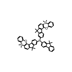 CC1(C)c2ccccc2-c2ccc(N(c3ccc4c(c3)C(C)(C)c3ccc5c(c3-4)Oc3ccccc3[Si]5(C)C)c3ccc4c(c3)C(C)(C)c3ccc5c(c3-4)Oc3ccccc3[Si]5(C)C)cc21